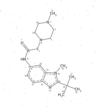 CN1CCN(SC(=O)Nc2ccc3nc(C(C)(C)C)n(C)c3c2)CC1